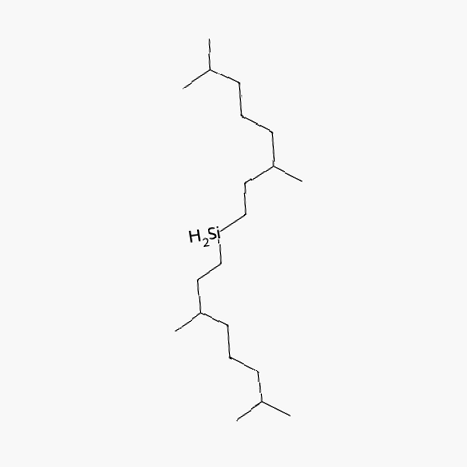 CC(C)CCCC(C)CC[SiH2]CCC(C)CCCC(C)C